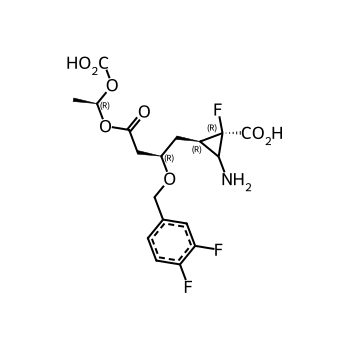 C[C@@H](OC(=O)O)OC(=O)C[C@@H](C[C@@H]1C(N)[C@@]1(F)C(=O)O)OCc1ccc(F)c(F)c1